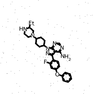 CCC1CN(C2CCC(n3nc(-c4ccc(Oc5ccccc5)cc4F)c4c(N)ncnc43)CC2)CCN1